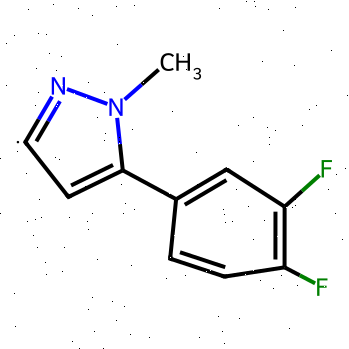 Cn1n[c]cc1-c1ccc(F)c(F)c1